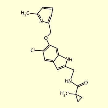 Cc1cccc(COc2cc3[nH]c(CNC(=O)C4(C)CC4)cc3cc2Cl)n1